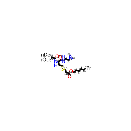 CCCCCCCCCCC(CCCCCCCC)C(=O)NC(CCSCCC(=O)OCCCCCC(C)C)C(=O)NCCN(C)C